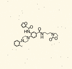 Cc1ccccc1N1CCN(c2ccc(C(=O)NCCCN3CCOC3=O)cc2NC(=O)c2ccco2)CC1